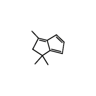 CC1=C2C=CC=C2C(C)(C)C1